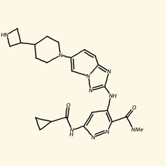 CNC(=O)c1nnc(NC(=O)C2CC2)cc1Nc1nc2ccc(N3CCC(C4CNC4)CC3)cn2n1